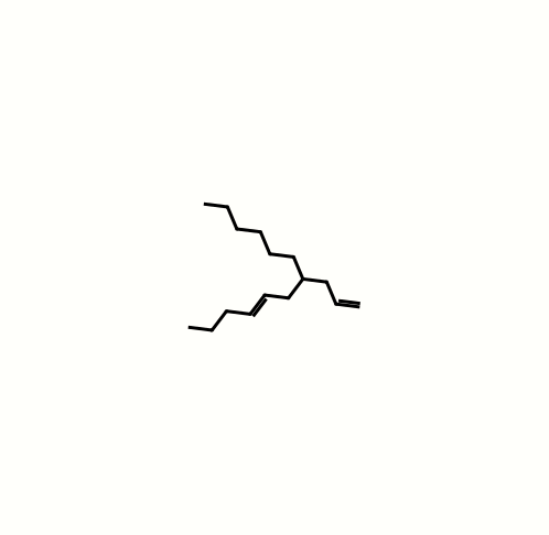 C=CCC(CC=CCCC)CCCCCC